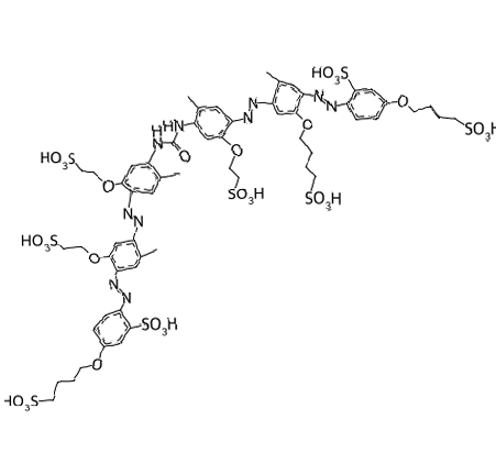 Cc1cc(N=Nc2ccc(OCCCCS(=O)(=O)O)cc2S(=O)(=O)O)c(OCCCCS(=O)(=O)O)cc1N=Nc1cc(C)c(NC(=O)Nc2cc(OCCS(=O)(=O)O)c(N=Nc3cc(OCCS(=O)(=O)O)c(N=Nc4ccc(OCCCCS(=O)(=O)O)cc4S(=O)(=O)O)cc3C)cc2C)cc1OCCS(=O)(=O)O